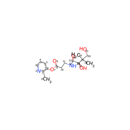 Cc1ncccc1OC(=O)CCNC(=O)[C@H](O)C(C)(C)CO